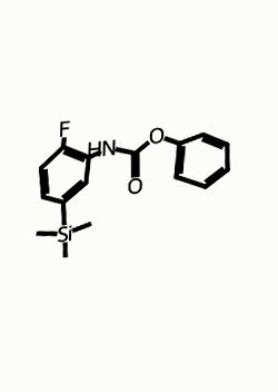 C[Si](C)(C)c1ccc(F)c(NC(=O)Oc2ccccc2)c1